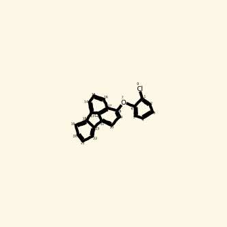 Clc1ccccc1Oc1ccc2c3c(cccc13)-c1ccccc1-2